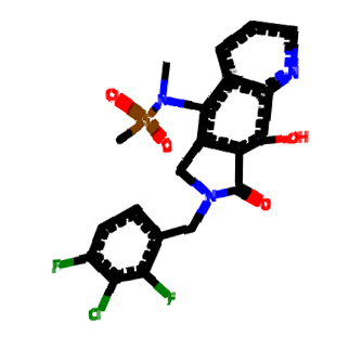 CN(c1c2c(c(O)c3ncccc13)C(=O)N(Cc1ccc(F)c(Cl)c1F)C2)S(C)(=O)=O